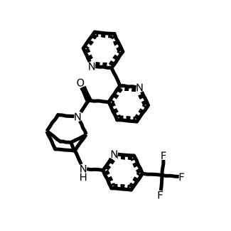 O=C(c1cccnc1-c1ccccn1)N1CC2CCC1C(Nc1ccc(C(F)(F)F)cn1)C2